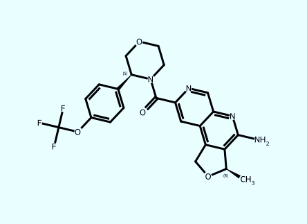 C[C@H]1OCc2c1c(N)nc1cnc(C(=O)N3CCOC[C@@H]3c3ccc(OC(F)(F)F)cc3)cc21